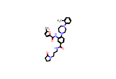 Cc1ccc(C(=O)Nc2cc(C(=O)NCCCN3CCCC3=O)ccc2N2CCCN(c3ccccc3C)CC2)o1